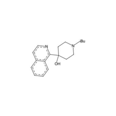 CCC(C)N1CCC(O)(c2nccc3ccccc23)CC1